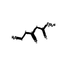 C=CCC(=O)CC(=O)C(=O)O